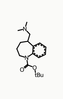 CN(C)CC1CCCN(C(=O)OC(C)(C)C)c2ccccc21